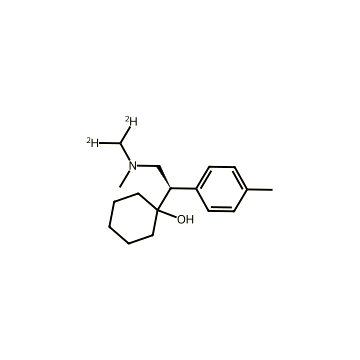 [2H]C([2H])N(C)C[C@@H](c1ccc(C)cc1)C1(O)CCCCC1